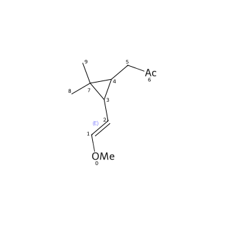 CO/C=C/C1C(CC(C)=O)C1(C)C